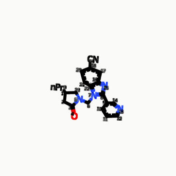 CCCC1CC(=O)N(Cn2c(-c3cccnc3)nc3cc(C#N)ccc32)C1